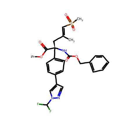 C/C(=C\S(C)(=O)=O)C[C@](NC(=O)OCc1ccccc1)(C(=O)OC(C)C)c1ccc(-c2cnn(C(F)F)c2)cc1